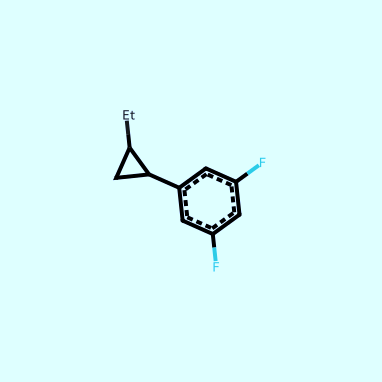 CCC1CC1c1cc(F)cc(F)c1